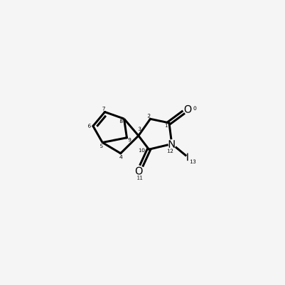 O=C1CC2(CC3C=CC2C3)C(=O)N1I